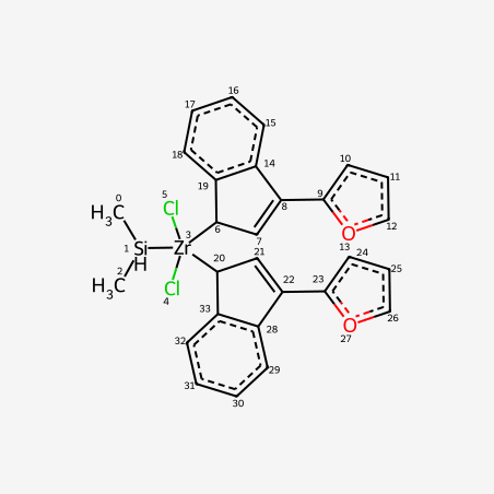 C[SiH](C)[Zr]([Cl])([Cl])([CH]1C=C(c2ccco2)c2ccccc21)[CH]1C=C(c2ccco2)c2ccccc21